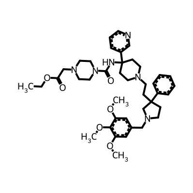 CCOC(=O)CN1CCN(C(=O)NC2(c3cccnc3)CCN(CCC3(c4ccccc4)CCN(Cc4cc(OC)c(OC)c(OC)c4)C3)CC2)CC1